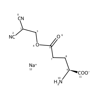 N#CC(C#N)COC(=O)CC[C@H](N)C(=O)[O-].[Na+]